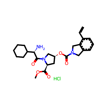 C=Cc1cccc2c1CN(C(=O)O[C@@H]1C[C@@H](C(=O)OC)N(C(=O)[C@@H](N)C3CCCCC3)C1)C2.Cl